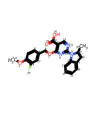 COc1ccc(COc2nc(N3c4ccccc4CC3C)ncc2C(=O)O)cc1F